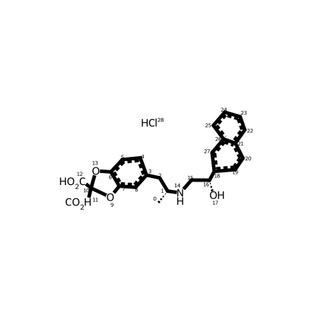 C[C@H](Cc1ccc2c(c1)OC(C(=O)O)(C(=O)O)O2)NC[C@@H](O)c1ccc2ccccc2c1.Cl